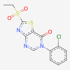 CCS(=O)(=O)c1nc2ncn(-c3ccccc3Cl)c(=O)c2s1